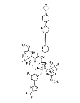 COC(=O)NC(C(=O)N[C@@H](Cc1ccc(C#Cc2ccc(N3CCN(C4COC4)CC3)nc2)cc1)[C@@H](O)CN(Cc1c(F)cc(-c2ccn(C(F)F)n2)cc1F)NC(=O)[C@@H](NC(=O)OC)C(C)(C)C(F)(F)F)C(C)(C)C(F)(F)F